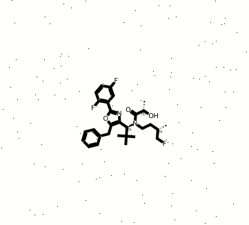 C[C@H](CF)CCN(C(=O)[C@H](C)O)[C@H](c1nc(-c2cc(F)ccc2F)oc1Cc1ccccc1)C(C)(C)C